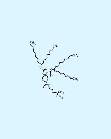 CCCCCCCCC(CCCCCCCC)OC(=O)CC1(CC(=O)OC(CCCCCCCC)CCCCCCCC)CCN(C(=O)SCCCN(C)C)CC1